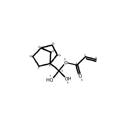 C=CC(=O)OC(O)(O)C12CCC(CC1)C2